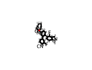 Cn1ncc2c(F)c(-c3ccc(C(=O)N4C5CCC4CC(N)C5)cc3-c3ccc(C#N)c(F)c3)ccc21